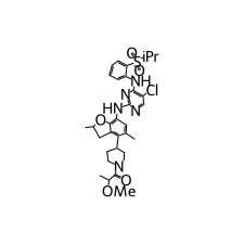 COC(C)C(=O)N1CCC(c2c(C)cc(Nc3ncc(Cl)c(Nc4ccccc4S(=O)(=O)C(C)C)n3)c3c2CC(C)O3)CC1